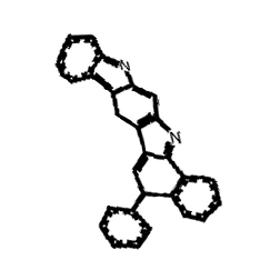 C1=C2N=c3ccccc3=C2CC2=C1N=C1C2=CC(c2ccccc2)c2ccccc21